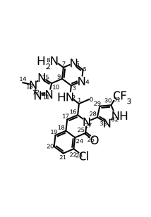 CC(Nc1ncnc(N)c1-c1nnn(C)n1)c1cc2cccc(Cl)c2c(=O)n1-c1cc(C(F)(F)F)[nH]n1